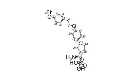 CCOc1ccc(CCOc2ccc(C3CCC(C(N)OP(=O)(O)O)C3)cc2)cc1